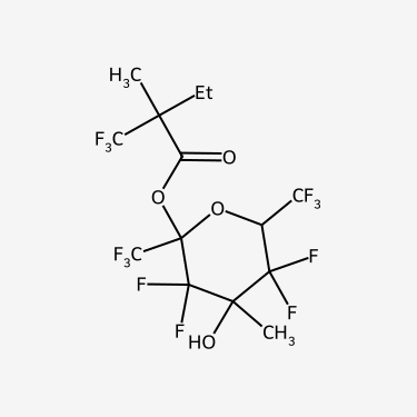 CCC(C)(C(=O)OC1(C(F)(F)F)OC(C(F)(F)F)C(F)(F)C(C)(O)C1(F)F)C(F)(F)F